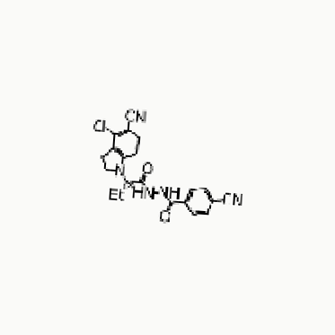 CC[C@@H](C(=O)NNC(=O)c1ccc(C#N)cc1)N1CCc2c1ccc(C#N)c2Cl